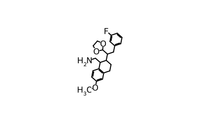 COc1ccc2c(c1)CCC(C(Cc1cccc(F)c1)C1OCCO1)C2CN